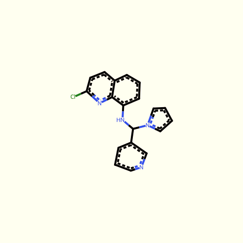 Clc1ccc2cccc(NC(c3cccnc3)n3cccc3)c2n1